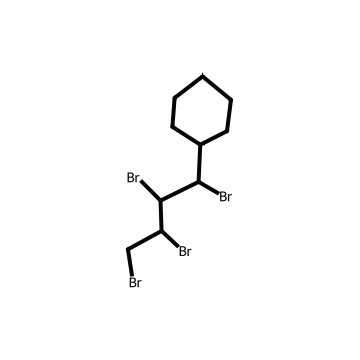 BrCC(Br)C(Br)C(Br)[C]1CC[CH]CC1